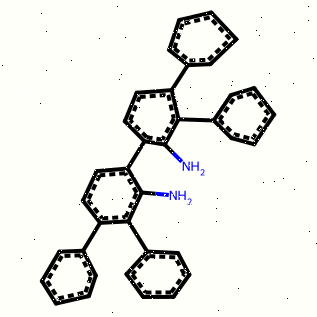 Nc1c(-c2ccc(-c3ccccc3)c(-c3ccccc3)c2N)ccc(-c2ccccc2)c1-c1ccccc1